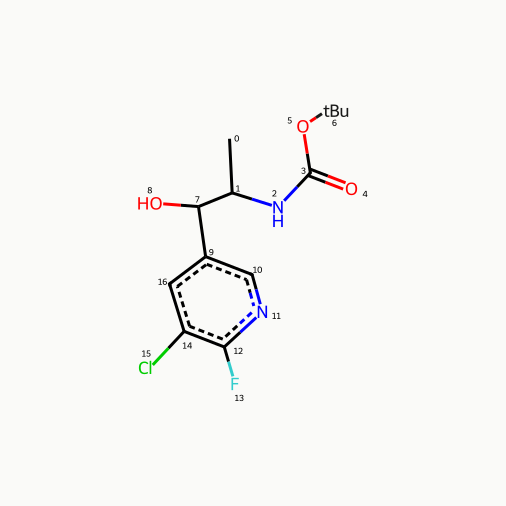 CC(NC(=O)OC(C)(C)C)C(O)c1cnc(F)c(Cl)c1